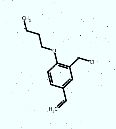 C=Cc1ccc(OCCCC)c(CCl)c1